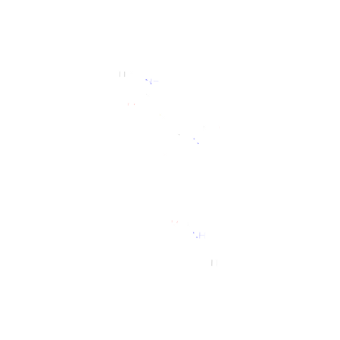 C/C=C\NC(=O)CCCCCN1C(=O)CC(SCC(=O)NC)C1=O